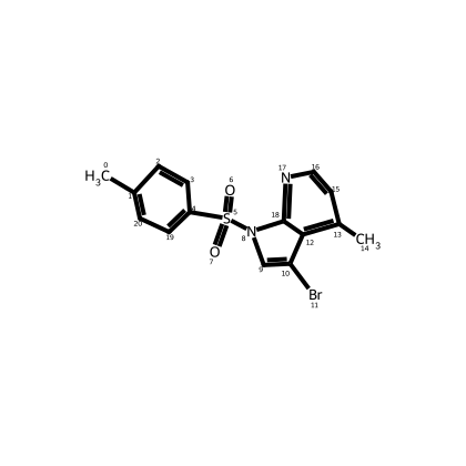 Cc1ccc(S(=O)(=O)n2cc(Br)c3c(C)ccnc32)cc1